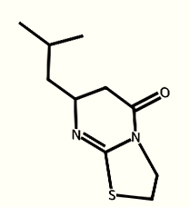 CC(C)CC1CC(=O)N2CCSC2=N1